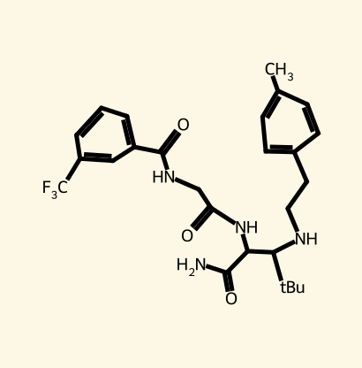 Cc1ccc(CCNC(C(NC(=O)CNC(=O)c2cccc(C(F)(F)F)c2)C(N)=O)C(C)(C)C)cc1